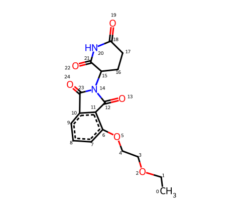 CCOCCOc1cccc2c1C(=O)N(C1CCC(=O)NC1=O)C2=O